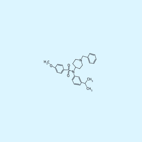 COc1ccc(S(=O)(=O)N(c2cccc(C(C)C)c2)C2CCN(Cc3ccccc3)CC2)cc1